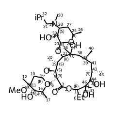 CC[C@H]1OC(=O)[C@H](C)[C@@H](O[C@H]2C[C@@](C)(OC)[C@@H](O)[C@H](C)O2)[C@H](C)[C@@H](O[C@@H]2O[C@H](C)C[C@H](N(C)CC(C)C)[C@H]2O)C(C)(O)C[C@@H](C)C[C@H](C)[C@@H](O)[C@]1(C)O